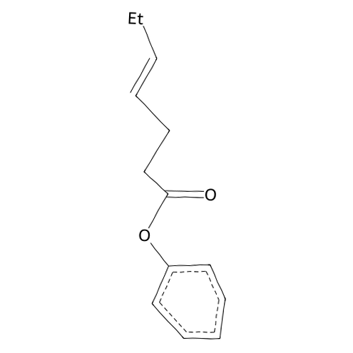 CCC=CCCC(=O)Oc1ccccc1